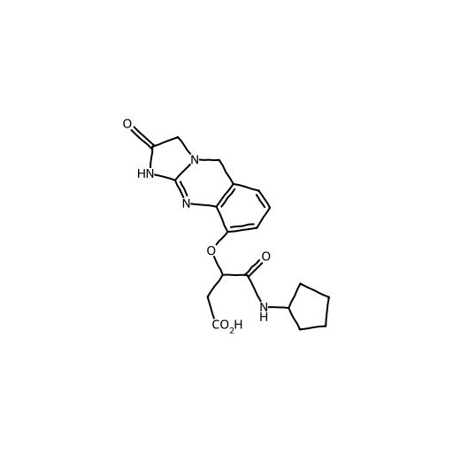 O=C(O)CC(Oc1cccc2c1N=C1NC(=O)CN1C2)C(=O)NC1CCCC1